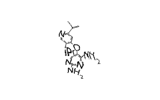 C=C(C)c1cc(Oc2cnc(N)nc2N)c(C(C)C)cn1